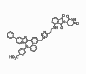 O=C1CCC(N2C(=O)c3cccc(NCCc4cn(Cc5ccc(-c6nc7cc(-c8ccccc8)ccn7c6N(c6ccccc6)c6ccc(C(=O)O)cc6)cc5)nn4)c3C2=O)C(=O)N1